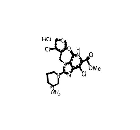 COC(=O)c1[nH]c(=O)c2c(nc(N3CCC[C@@H](N)C3)n2Cc2ccccc2Cl)c1Cl.Cl